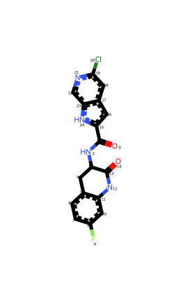 O=C(NC1Cc2ccc(F)cc2[N]C1=O)c1cc2cc(Cl)ncc2[nH]1